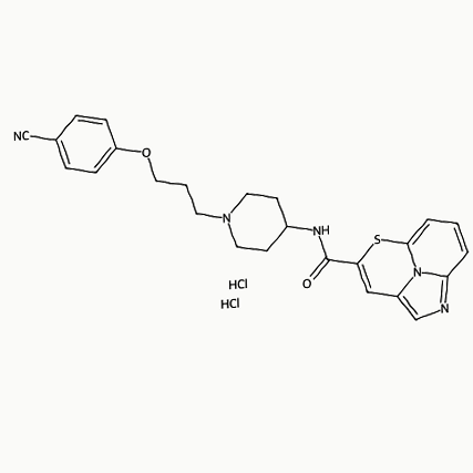 Cl.Cl.N#Cc1ccc(OCCCN2CCC(NC(=O)C3=Cc4cnc5cccc(n45)S3)CC2)cc1